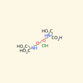 Cl.O=C(O)CC(NCCOCCOCCNC(CC(=O)O)C(=O)O)C(=O)O